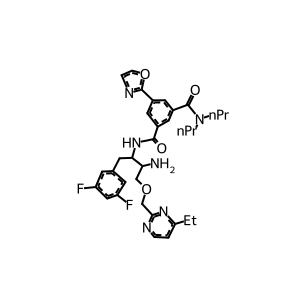 CCCN(CCC)C(=O)c1cc(C(=O)NC(Cc2cc(F)cc(F)c2)C(N)COCc2nccc(CC)n2)cc(-c2ncco2)c1